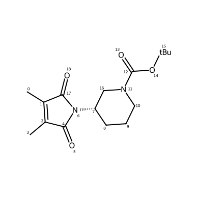 CC1=C(C)C(=O)N([C@H]2CCCN(C(=O)OC(C)(C)C)C2)C1=O